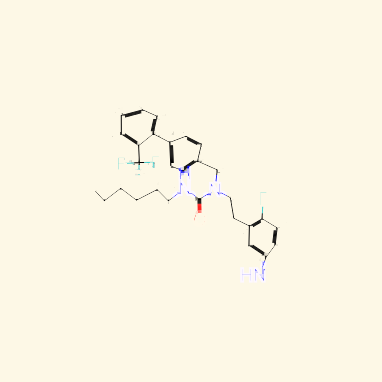 CCCCCCNC(=O)N(CCc1cc([NH])ccc1F)Cc1ccc(-c2ccccc2C(F)(F)F)cc1